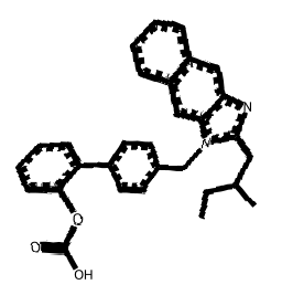 CCC(C)Cc1nc2cc3ccccc3cc2n1Cc1ccc(-c2ccccc2OC(=O)O)cc1